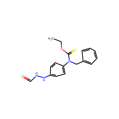 CCOC(=S)N(Cc1ccccc1)c1ccc(NNC=O)cc1